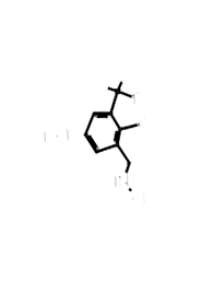 CNCc1cccc(C(F)(F)F)c1Cl.Cl